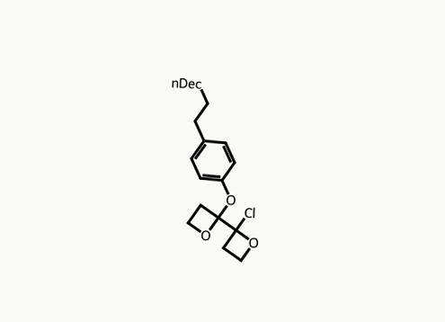 CCCCCCCCCCCCc1ccc(OC2(C3(Cl)CCO3)CCO2)cc1